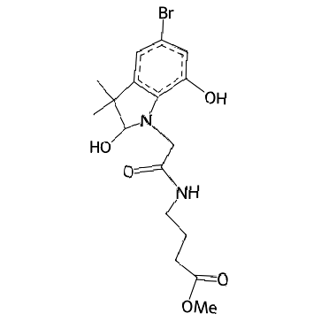 COC(=O)CCCNC(=O)CN1c2c(O)cc(Br)cc2C(C)(C)C1O